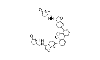 O=C1CC[C@H](CN[C@@H]2COc3nc(-c4cccc(-c5cccc(-c6ccc7c(n6)OC[C@H]7NC[C@@H]6CCC(=O)N6)c5Cl)c4Cl)ccc32)N1